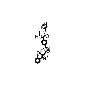 Cn1cnc(CNC(=O)C(O)c2ccc(-c3noc(-c4onc(-c5ccccc5)c4C(F)(F)F)n3)cc2)c1